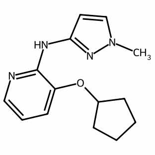 Cn1ccc(Nc2ncccc2OC2CCCC2)n1